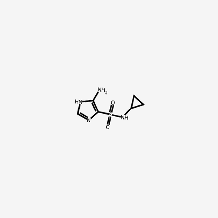 Nc1[nH]cnc1S(=O)(=O)NC1CC1